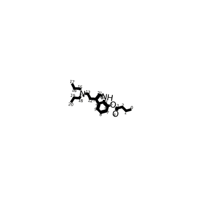 CCCC(=O)Oc1cccc2c(CCN(CCC)CCC)c[nH]c12